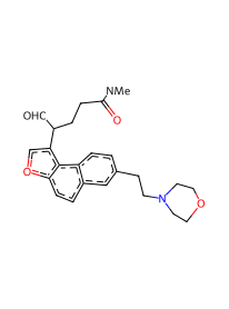 CNC(=O)CCC(C=O)c1coc2ccc3cc(CCN4CCOCC4)ccc3c12